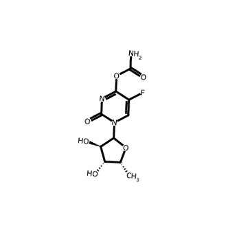 C[C@H]1OC(n2cc(F)c(OC(N)=O)nc2=O)[C@H](O)[C@H]1O